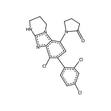 O=C1CCCN1c1cc(-c2ccc(Cl)cc2Cl)c(Cl)c2nc3n(c12)CCCN3